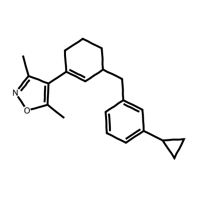 Cc1noc(C)c1C1=CC(Cc2cccc(C3CC3)c2)CCC1